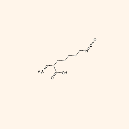 C=CC(CCCCCN=C=O)C(=O)O